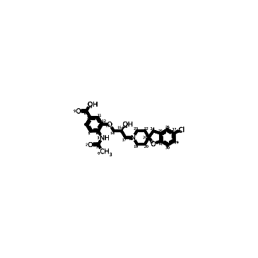 CC(=O)Nc1ccc(C(=O)O)cc1OC[C@@H](O)CN1CCC2(CC1)Cc1cc(Cl)ccc1O2